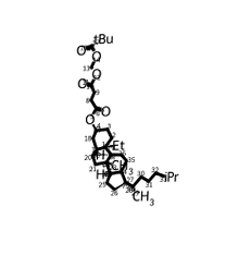 CC[C@]12CC[C@H](OC(=O)CCC(=O)OCOC(=O)C(C)(C)C)CC1=CC[C@@]1(C)[C@@H]3CC[C@H]([C@H](C)CCCC(C)C)C3CC[C@H]21